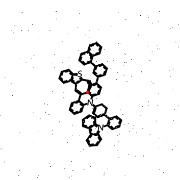 C1#Cc2sc3ccccc3c2C=C(c2ccccc2N(C2=CC=C(c3ccccc3-n3c4ccccc4c4ccccc43)CC2)c2ccc(-c3cccc(-c4cccc5ccccc45)c3)cc2)C1